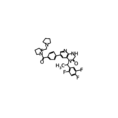 CC(c1cc(F)c(F)cc1F)N1C(=O)CNc2ncc(-c3ccc(C(=O)N4CCC[C@H]4CN4CCCC4)cc3)cc21